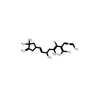 C=C1CC(/C=C/C(C)C/C(C)=C(\Cl)C(C=C=CC)=C(C)C)CC1(C)C